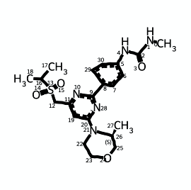 CNC(=O)Nc1ccc(-c2nc(CS(=O)(=O)C(C)C)cc(N3CCOC[C@@H]3C)n2)cc1